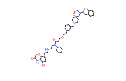 Cc1ccccc1CC(=O)N1CCOC2(CCN(Cc3cccc(CCOCCC(=O)N(CCNCCc4ccc(O)c5c4OCC(=O)N5)C4CCCCC4)c3)CC2)C1